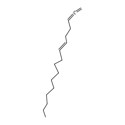 C=C=CCCC=CCCCCCCCCC